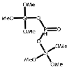 CO[Si](OC)(OC)O[PH](=O)O[Si](OC)(OC)OC